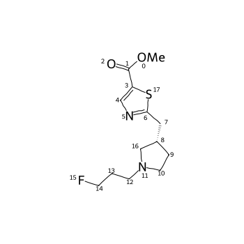 COC(=O)c1cnc(C[C@@H]2CCN(CCCF)C2)s1